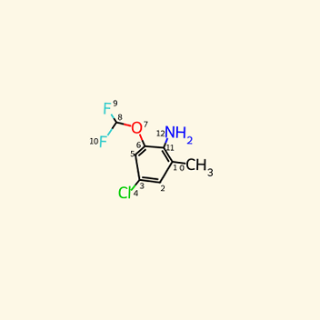 Cc1cc(Cl)cc(OC(F)F)c1N